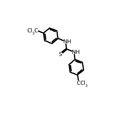 S=C(Nc1ccc(C(Cl)(Cl)Cl)cc1)Nc1ccc(C(Cl)(Cl)Cl)cc1